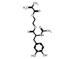 C=C(C)C(=O)OCCOC(=O)C(Cc1ccc(O)c(O)c1)NC(C)=O